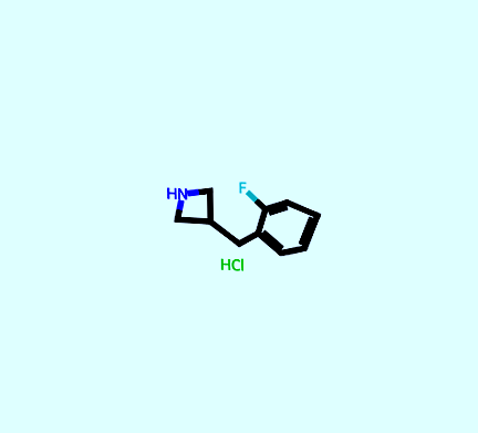 Cl.Fc1ccccc1CC1CNC1